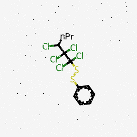 CCCC(Cl)C(Cl)(Cl)C(Cl)(Cl)SSc1ccccc1